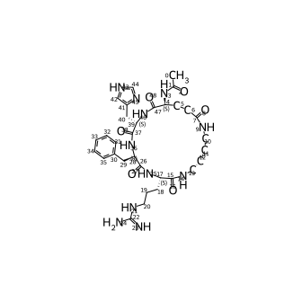 CC(=O)N[C@H]1CCC(=O)NCCCCNC(=O)[C@H](CCCNC(=N)N)NC(=O)[C@@H](Cc2ccccc2)NC(=O)[C@H](Cc2c[nH]cn2)NC1=O